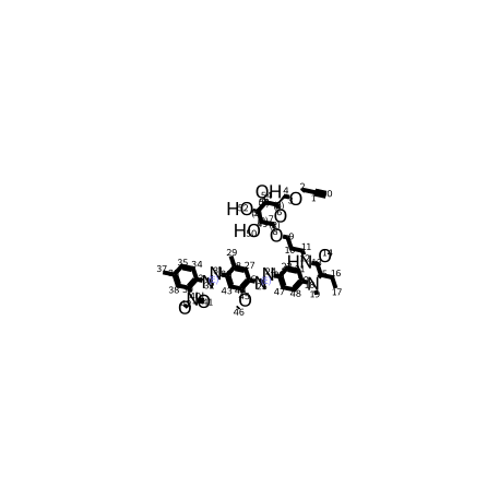 C#CCOC[C@H]1O[C@@H](OCCCNC(=O)C(CC)N(C)c2ccc(/N=N/c3cc(C)c(/N=N/c4ccc(C)cc4[N+](=O)[O-])cc3OC)cc2)[C@H](O)[C@@H](O)[C@@H]1O